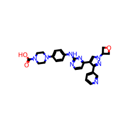 O=C(O)N1CCN(c2ccc(Nc3nccc(-c4cn(C5COC5)nc4-c4cccnc4)n3)cc2)CC1